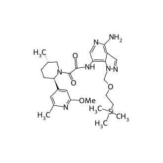 COc1cc([C@H]2CC[C@H](C)CN2C(=O)C(=O)Nc2cnc(N)c3cnn(COCC[Si](C)(C)C)c23)cc(C)n1